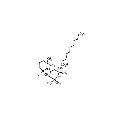 CC1(C)CCCC(C)(C)N1.CC1(C)CCCC(C)(C)N1.O=C(O)CCCCCCCCC(=O)O